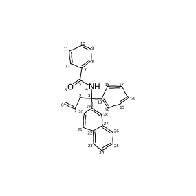 C=CCC(NC(=O)c1ccccc1)(c1ccccc1)c1ccc2ccccc2c1